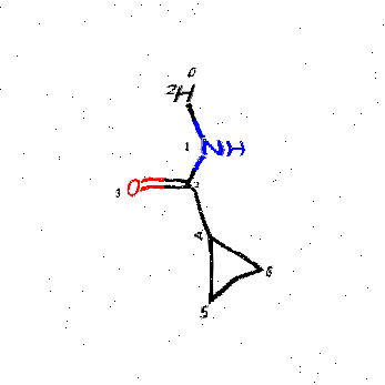 [2H]NC(=O)C1CC1